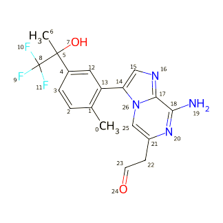 Cc1ccc(C(C)(O)C(F)(F)F)cc1-c1cnc2c(N)nc(CC=O)cn12